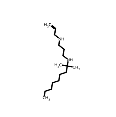 C=CCNCCCNC(C)(C)CCCCCCC